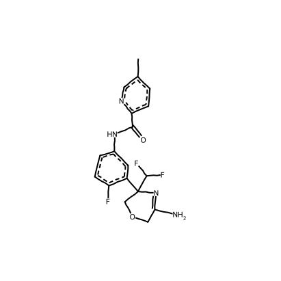 Cc1ccc(C(=O)Nc2ccc(F)c(C3(C(F)F)COCC(N)=N3)c2)nc1